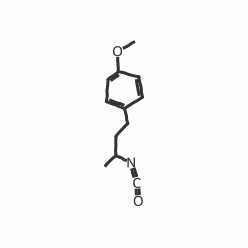 COc1ccc(CCC(C)N=C=O)cc1